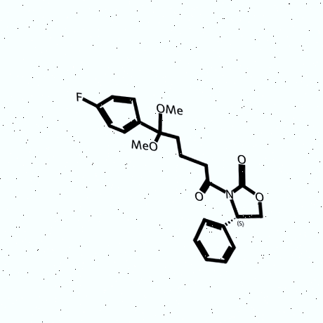 COC(CCCC(=O)N1C(=O)OC[C@@H]1c1ccccc1)(OC)c1ccc(F)cc1